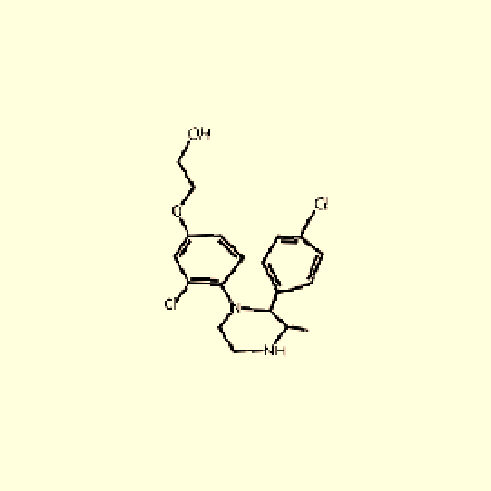 CC1NCCN(c2ccc(OCCO)cc2Cl)C1c1ccc(Cl)cc1